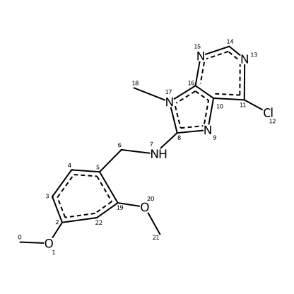 COc1ccc(CNc2nc3c(Cl)ncnc3n2C)c(OC)c1